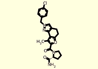 Cc1c(C(=O)N2CCC[C@@H]2C(N)=O)oc2c1-c1nn(Cc3ccc(Cl)cc3)cc1CC2